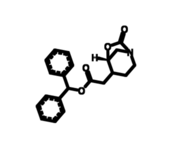 O=C(CC1CCN2C[C@H]1OC2=O)OC(c1ccccc1)c1ccccc1